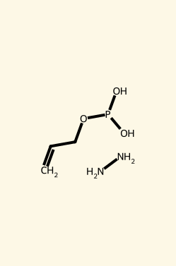 C=CCOP(O)O.NN